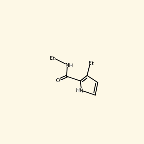 CCNC(=O)c1[nH]ccc1CC